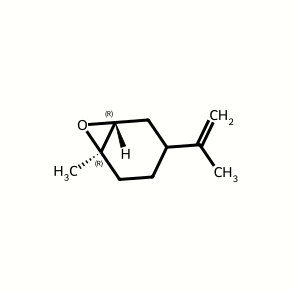 C=C(C)C1CC[C@@]2(C)O[C@@H]2C1